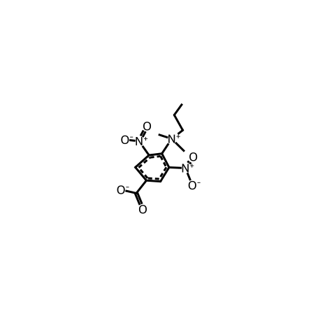 CCC[N+](C)(C)c1c([N+](=O)[O-])cc(C(=O)[O-])cc1[N+](=O)[O-]